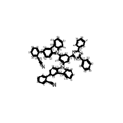 N#Cc1ccccc1-c1ccc2c(c1)c1ccccc1n2-c1cc(-c2nc(-c3ccccc3)nc(-c3ccccc3)n2)cc(-n2c3ccccc3c3cc(-c4ccccc4C#N)ccc32)c1